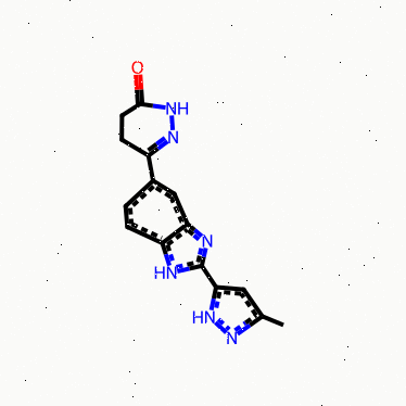 Cc1cc(-c2nc3cc(C4=NNC(=O)CC4)ccc3[nH]2)[nH]n1